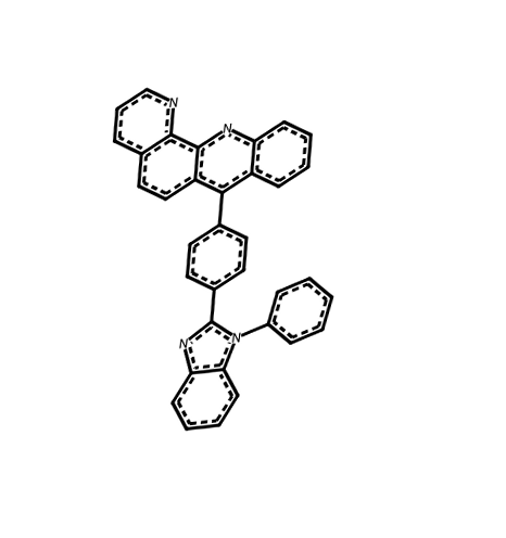 c1ccc(-n2c(-c3ccc(-c4c5ccccc5nc5c4ccc4cccnc45)cc3)nc3ccccc32)cc1